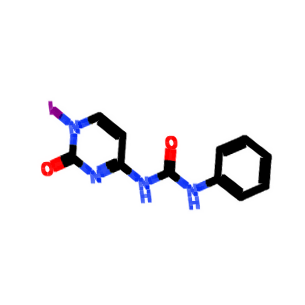 O=C(Nc1ccccc1)Nc1ccn(I)c(=O)n1